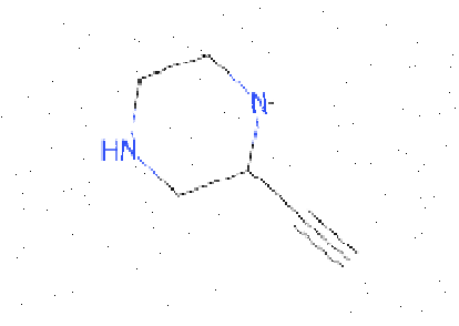 C#CC1CNCC[N]1